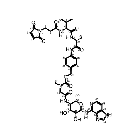 CC(C)[C@H](NC(=O)CCN1C(=O)C=CC1=O)C(=O)N[C@@H](C)C(=O)Nc1ccc(COC(=O)N(C)CC(=O)N[C@@H]2[C@@H](O)[C@@H](O)[C@@H](Nc3nccc4[nH]cnc34)O[C@H]2C)cc1